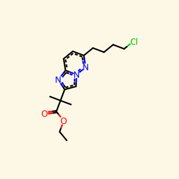 CCOC(=O)C(C)(C)c1cn2nc(CCCCCl)ccc2n1